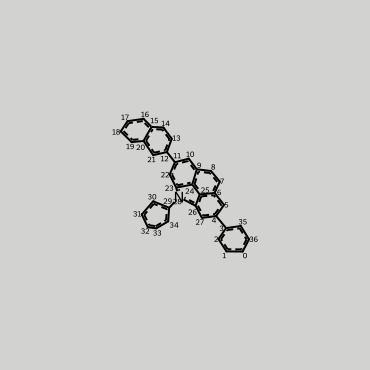 c1ccc(-c2cc3ccc4cc(-c5ccc6ccccc6c5)cc5c4c3c(c2)n5-c2ccccc2)cc1